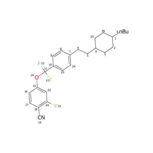 CCCCC1CCC(CCc2ccc(C(F)(F)Oc3ccc(C#N)c(F)c3)cc2)CC1